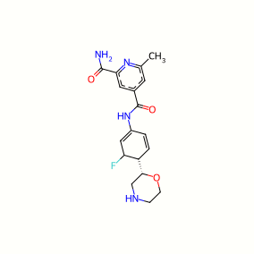 Cc1cc(C(=O)NC2=CC(F)C([C@H]3CNCCO3)C=C2)cc(C(N)=O)n1